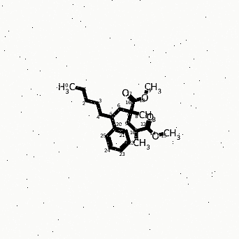 CCCCCC(CC(C)(CC(C)C(=O)OC)C(=O)OC)c1ccccc1